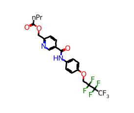 CCCC(=O)OCc1ccc(C(=O)Nc2ccc(OCC(F)(F)C(F)(F)C(F)(F)F)cc2)cn1